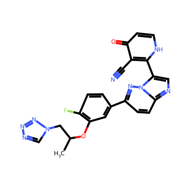 CC(Cn1cnnn1)Oc1cc(-c2ccc3ncc(-c4[nH]ccc(=O)c4C#N)n3n2)ccc1F